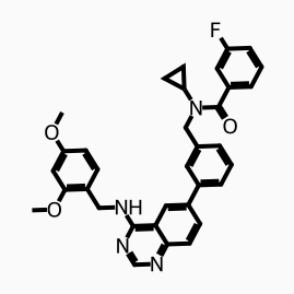 COc1ccc(CNc2ncnc3ccc(-c4cccc(CN(C(=O)c5cccc(F)c5)C5CC5)c4)cc23)c(OC)c1